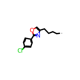 [CH2]CCCCc1coc(-c2ccc(Cl)cc2)n1